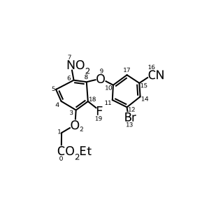 CCOC(=O)COc1ccc([N+](=O)[O-])c(Oc2cc(Br)cc(C#N)c2)c1F